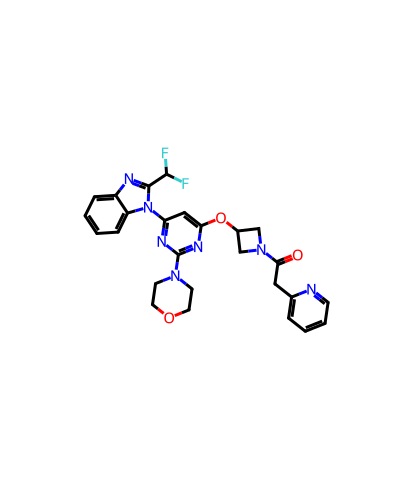 O=C(Cc1ccccn1)N1CC(Oc2cc(-n3c(C(F)F)nc4ccccc43)nc(N3CCOCC3)n2)C1